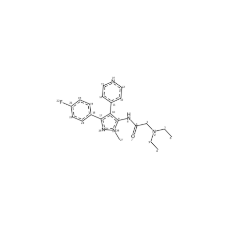 CCN(CC)CC(=O)Nc1c(-c2ccncc2)c(-c2ccc(F)cc2)nn1C